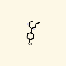 C=C/C=C(\C=C/C)c1ccc(S)nc1